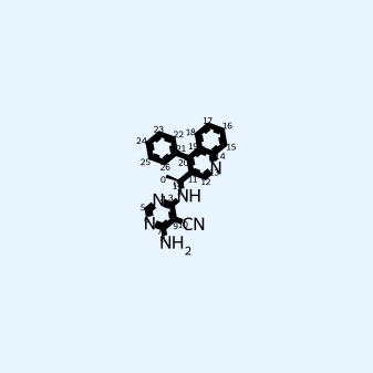 C[C@H](Nc1ncnc(N)c1C#N)c1cnc2ccccc2c1-c1ccccc1